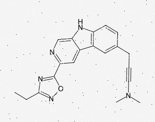 CCc1noc(-c2cc3c(cn2)[nH]c2ccc(CC#CN(C)C)cc23)n1